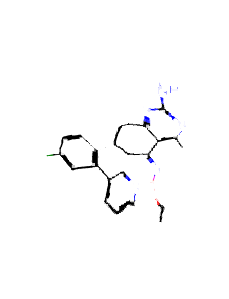 [CH2]CO/N=C1\C[C@H](c2ccc(F)cc2-c2cccnc2)Cc2nc(N)nc(C)c21